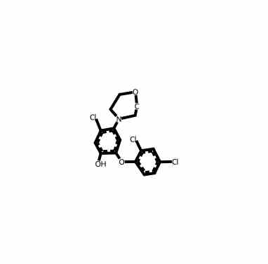 Oc1cc(Cl)c(N2CCOCC2)cc1Oc1ccc(Cl)cc1Cl